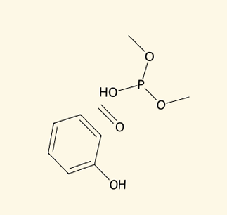 C=O.COP(O)OC.Oc1ccccc1